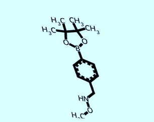 CONCc1ccc(B2OC(C)(C)C(C)(C)O2)cc1